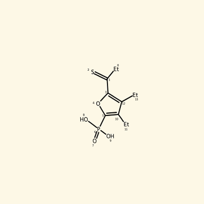 CCC(=S)c1oc(P(=O)(O)O)c(CC)c1CC